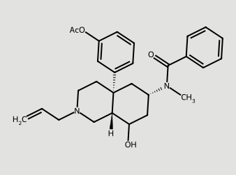 C=CCN1CC[C@@]2(c3cccc(OC(C)=O)c3)C[C@H](N(C)C(=O)c3ccccc3)CC(O)[C@@H]2C1